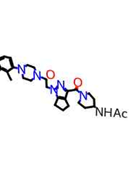 CC(=O)NC1CCN(C(=O)c2nn(CC(=O)N3CCN(c4cccc(C)c4C)CC3)c3c2CCC3)CC1